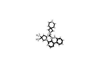 CC1(P)CCN(c2nccc(-c3ccccc3F)c2NC(=O)N2CC3(CCOCC3)C2)C1